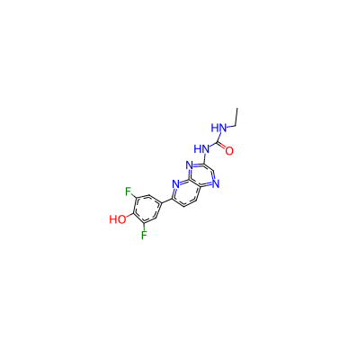 CCNC(=O)Nc1cnc2ccc(-c3cc(F)c(O)c(F)c3)nc2n1